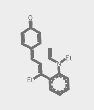 C=CN(CC)c1ccccc1/C(=C/C=C1C=CC(=O)C=C1)CC